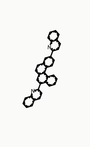 c1ccc2nc(-c3ccc4c(ccc5cc(-c6ccc7ccccc7n6)c6ccccc6c54)c3)ccc2c1